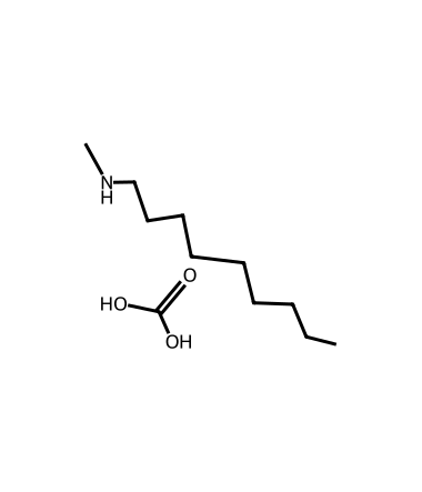 CCCCCCCCCNC.O=C(O)O